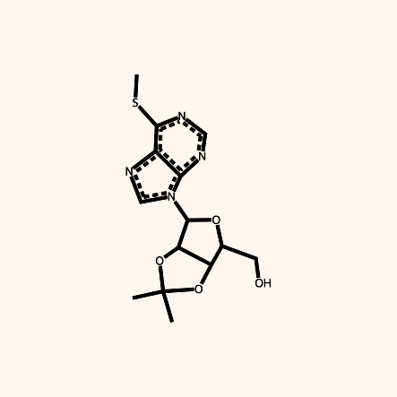 CSc1ncnc2c1ncn2C1OC(CO)C2OC(C)(C)OC21